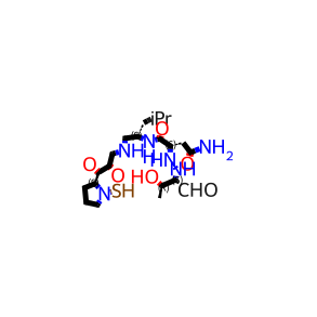 CC(C)C[C@@H](CNCC(=O)C(=O)[C@@H]1CCCN1S)NC(=O)[C@H](CC(N)=O)NN[C@H](C=O)[C@@H](C)O